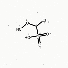 CC(OC#N)S(=O)(=O)O